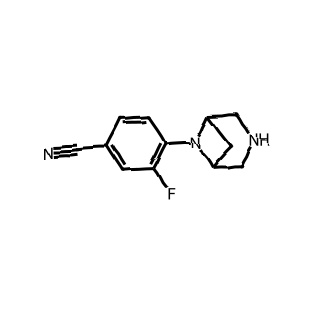 N#Cc1ccc(N2C3CNCC2C3)c(F)c1